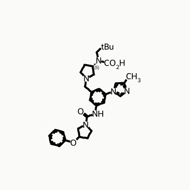 Cc1cn(-c2cc(CN3CC[C@H](N(CC(C)(C)C)C(=O)O)C3)cc(NC(=O)N3CCC(Oc4ccccc4)C3)c2)cn1